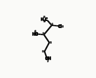 CC(Cl)C(O)CCO